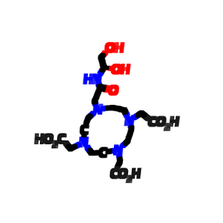 O=C(O)CN1CCN(CC(=O)O)CCN(CC(=O)N[C@H](O)CO)CCN(CC(=O)O)CC1